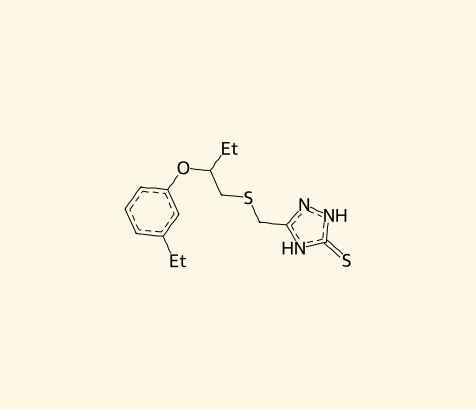 CCc1cccc(OC(CC)CSCc2n[nH]c(=S)[nH]2)c1